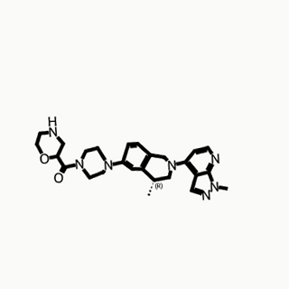 C[C@H]1CN(c2ccnc3c2cnn3C)Cc2ccc(N3CCN(C(=O)C4CNCCO4)CC3)cc21